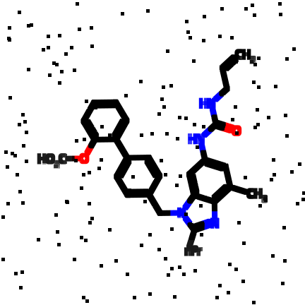 C=CCNC(=O)Nc1cc(C)c2nc(CCC)n(Cc3ccc(-c4ccccc4OC(=O)O)cc3)c2c1